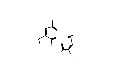 CC/C(=C/C(=O)O)C(=O)O.O=C(O)/C=C(/Cl)C(=O)O